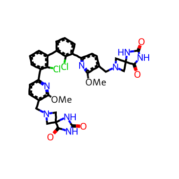 COc1nc(-c2cccc(-c3cccc(-c4ccc(CN5CC6(C5)NC(=O)NC6=O)c(OC)n4)c3Cl)c2Cl)ccc1CN1CC2(C1)NC(=O)NC2=O